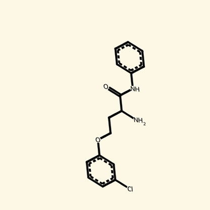 NC(CCOc1cccc(Cl)c1)C(=O)Nc1ccccc1